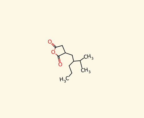 CCCC(CC1CC(=O)OC1=O)C(C)C